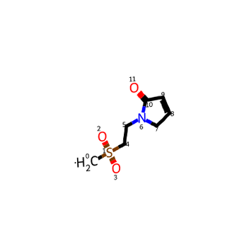 [CH2]S(=O)(=O)CCN1CC=CC1=O